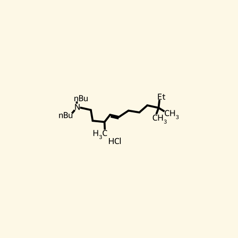 CCCCN(CCCC)CCC(C)C=CCCCC(C)(C)CC.Cl